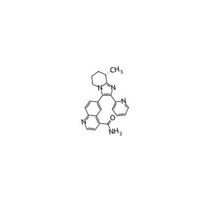 C[C@H]1CCCn2c1nc(-c1ccccn1)c2-c1ccc2nccc(C(N)=O)c2c1